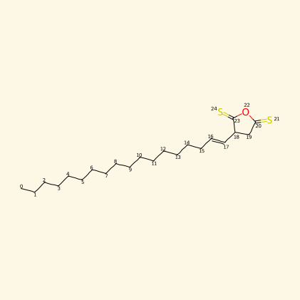 CCCCCCCCCCCCCCCCC=CC1CC(=S)OC1=S